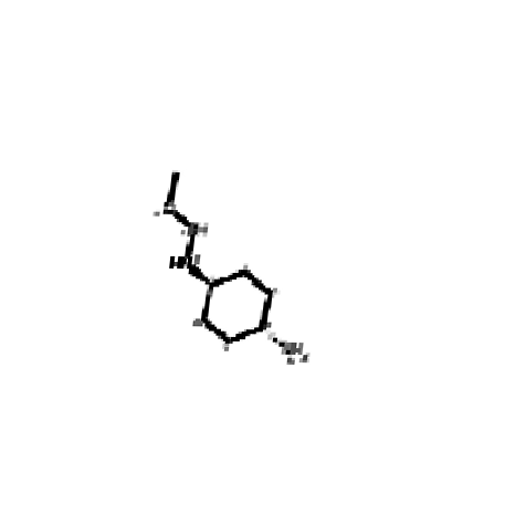 COBN[C@H]1CC[C@H](N)CC1